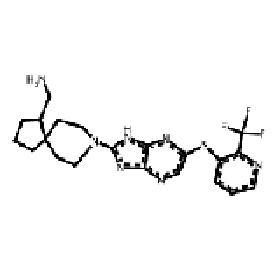 NCC1CCCC12CCN(c1nc3ncc(Sc4cccnc4C(F)(F)F)nc3[nH]1)CC2